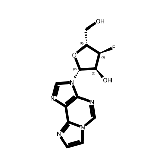 OC[C@H]1O[C@@H](n2cnc3c2ncn2ccnc32)[C@H](O)[C@@H]1F